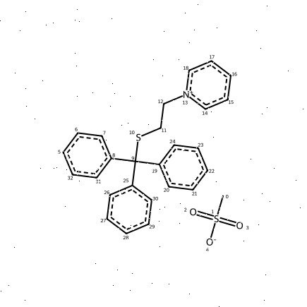 CS(=O)(=O)[O-].c1ccc(C(SCC[n+]2ccccc2)(c2ccccc2)c2ccccc2)cc1